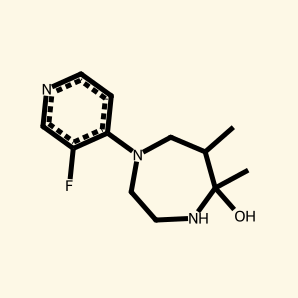 CC1CN(c2ccncc2F)CCNC1(C)O